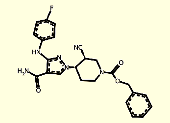 N#C[C@H]1CN(C(=O)OCc2ccccc2)CC[C@H]1n1cc(C(N)=O)c(Nc2ccc(F)cc2)n1